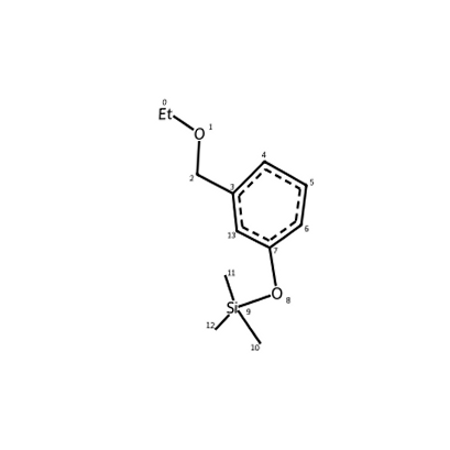 CCOCc1cccc(O[Si](C)(C)C)c1